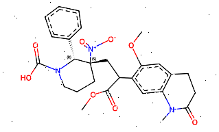 COC(=O)C(C[C@@]1([N+](=O)[O-])CCCN(C(=O)O)[C@@H]1c1ccccc1)c1cc2c(cc1OC)CCC(=O)N2C